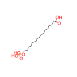 O=C(O)CCCCCCCCCCCCCCCOP(=O)(O)O